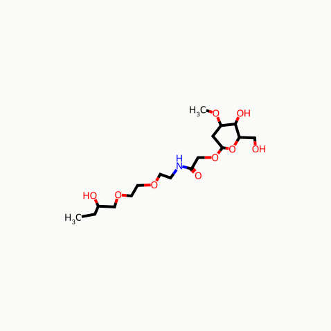 CCC(O)COCCOCCNC(=O)COC1CC(OC)C(O)C(CO)O1